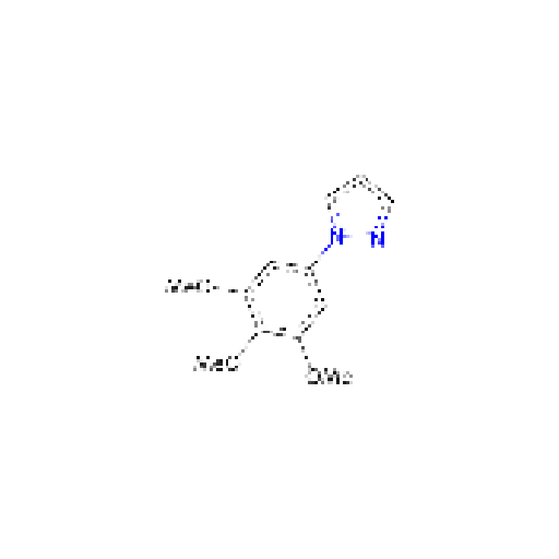 COc1cc(-n2cccn2)cc(OC)c1OC